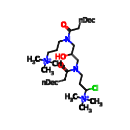 CCCCCCCCCCCC(=O)N(CCC[N+](C)(C)C)CC(O)CN(CCC(Cl)[N+](C)(C)C)C(=O)CCCCCCCCCCC